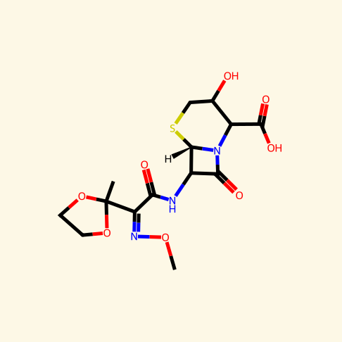 CON=C(C(=O)NC1C(=O)N2C(C(=O)O)C(O)CS[C@@H]12)C1(C)OCCO1